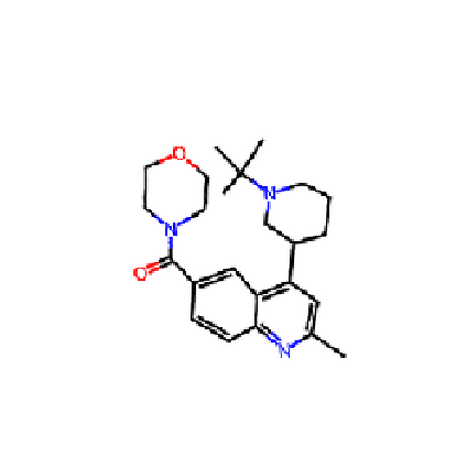 Cc1cc(C2CCCN(C(C)(C)C)C2)c2cc(C(=O)N3CCOCC3)ccc2n1